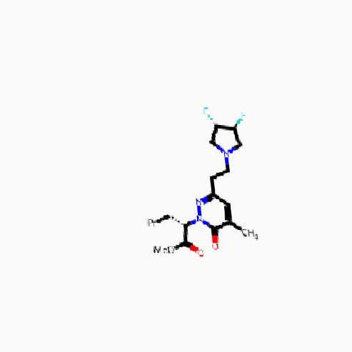 COC(=O)[C@H](CC(C)C)n1nc(CCN2C[C@H](F)[C@@H](F)C2)cc(C)c1=O